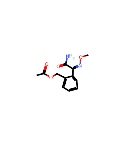 CO/N=C(\C(N)=O)c1ccccc1COC(C)=O